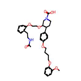 COc1ccccc1OCCCCOc1ccc(C2CCN(C(=O)O)CC2OCCOc2ccccc2CCNC(C)=O)cc1